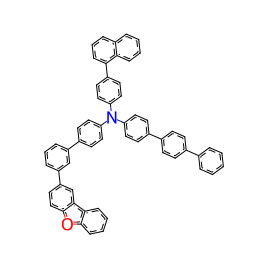 c1ccc(-c2ccc(-c3ccc(N(c4ccc(-c5cccc(-c6ccc7oc8ccccc8c7c6)c5)cc4)c4ccc(-c5cccc6ccccc56)cc4)cc3)cc2)cc1